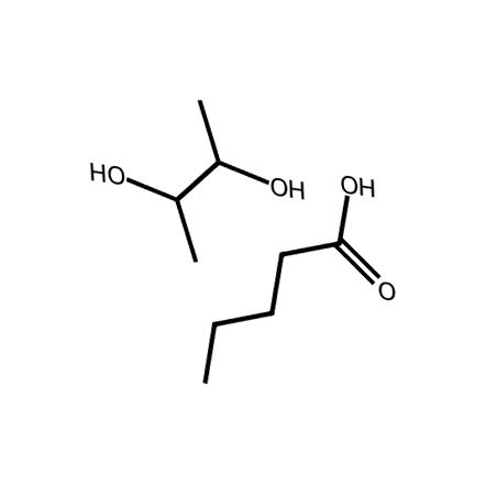 CC(O)C(C)O.CCCCC(=O)O